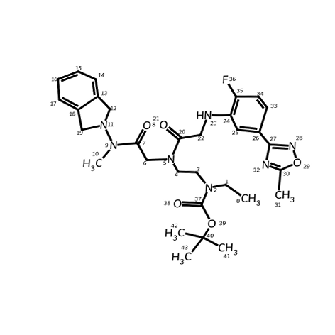 CCN(CCN(CC(=O)N(C)N1Cc2ccccc2C1)C(=O)CNc1cc(-c2noc(C)n2)ccc1F)C(=O)OC(C)(C)C